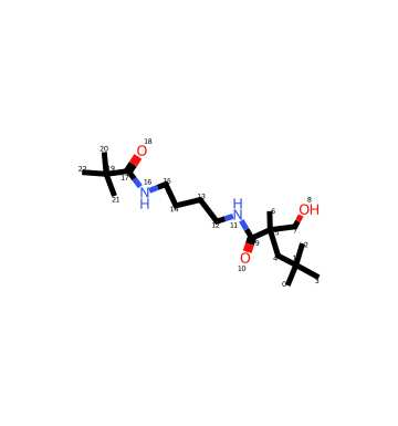 CC(C)(C)CC(C)(CO)C(=O)NCCCCNC(=O)C(C)(C)C